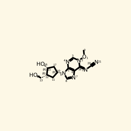 COn1cnc2c(ncn2[C@@H]2C[C@H](CO)[C@H](O)C2)c1=NC#N